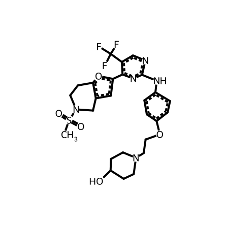 CS(=O)(=O)N1CCc2oc(-c3nc(Nc4ccc(OCCN5CCC(O)CC5)cc4)ncc3C(F)(F)F)cc2C1